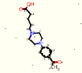 CC(=O)c1ccc(N2CCN(CCCCC(=O)O)CC2)cc1